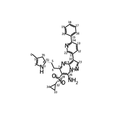 CC1=CN[C@@H](CCc2nc3c(-c4ccc(-c5ccccc5)nc4)cnn3c(N)c2S(=O)(=O)C2CC2)C1